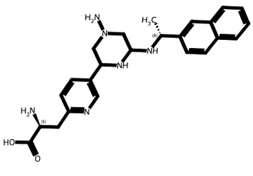 C[C@@H](NC1CN(N)CC(c2ccc(C[C@H](N)C(=O)O)nc2)N1)c1ccc2ccccc2c1